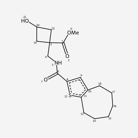 COC(=O)C1(CNC(=O)c2cc3c(s2)CCCCCC3)CC(O)C1